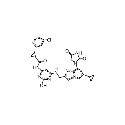 O=C1CN(c2cc(C3CC3)cn3cc(CNc4cc(NC(=O)[C@H]5C[C@@H]5c5cc(Cl)ccn5)nc(O)n4)nc23)C(=O)N1